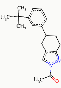 CC(=O)n1cc2c(n1)CC[C](c1cccc(C(C)(C)C)c1)C2